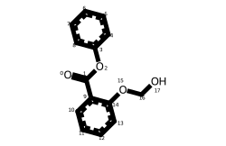 O=C(Oc1ccccc1)c1ccccc1OCO